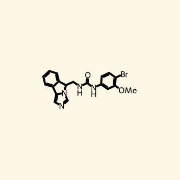 COc1cc(NC(=O)NCC2c3ccccc3-c3cncn32)ccc1Br